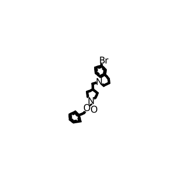 O=C(OCc1ccccc1)N1CCC(CN2CCCc3cc(Br)ccc32)CC1